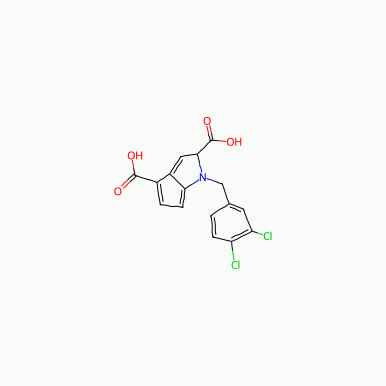 O=C(O)C1=CC=C2C1=CC(C(=O)O)N2Cc1ccc(Cl)c(Cl)c1